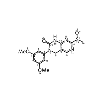 COc1cc(OC)cc(N2Cc3cnc([S+](C)[O-])nc3NC2=O)c1